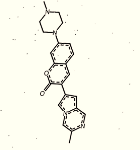 Cc1cn2cc(-c3cc4ccc(N5CCN(C)CC5)cc4oc3=O)cc2cn1